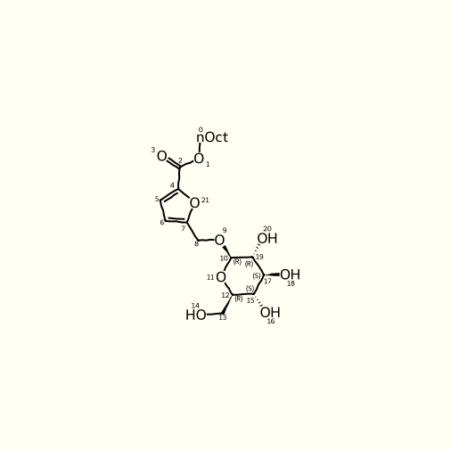 CCCCCCCCOC(=O)c1ccc(CO[C@@H]2O[C@H](CO)[C@@H](O)[C@H](O)[C@H]2O)o1